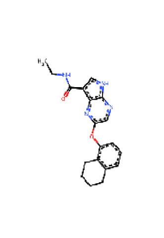 CCNC(=O)c1c[nH]c2ncc(Oc3cccc4c3CCCC4)nc12